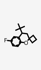 CC(C)(C)C1CC2(CCC2)Oc2ccc(F)cc21